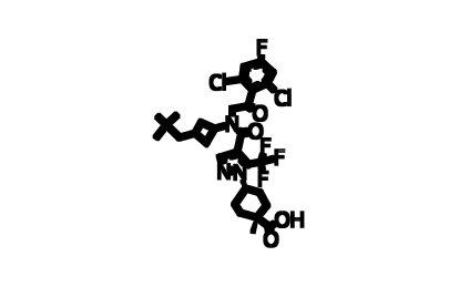 CC(C)(C)CC1CC(N(CC(=O)c2c(Cl)cc(F)cc2Cl)C(=O)c2cnn([C@H]3CC[C@](C)(C(=O)O)CC3)c2C(F)(F)F)C1